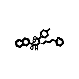 CC1CCN(C(=O)[C@H](CCCCc2ccccn2)NS(=O)(=O)c2ccc3ccccc3c2)CC1